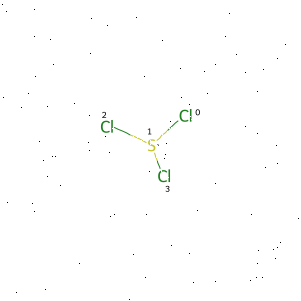 Cl[S](Cl)Cl